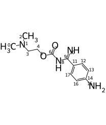 CN(C)CCOC(=O)NC(=N)c1ccc(N)cc1